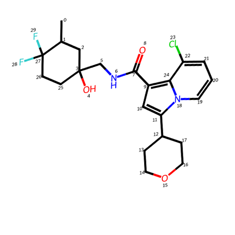 CC1CC(O)(CNC(=O)c2cc(C3CCOCC3)n3cccc(Cl)c23)CCC1(F)F